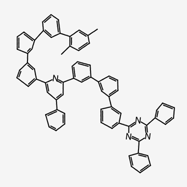 Cc1ccc(C)c(-c2cccc(-c3cccc(-c4cccc(-c5cc(-c6ccccc6)cc(-c6cccc(-c7cccc(-c8cccc(-c9nc(-c%10ccccc%10)nc(-c%10ccccc%10)n9)c8)c7)c6)n5)c4)c3)c2)c1